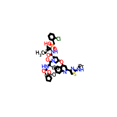 C=C[C@@H]1C[C@]1(NC(=O)[C@@H]1C[C@@H](Oc2cc(-c3csc(NC(C)C)n3)nc3cc(OC)ccc23)CN1C(=O)[C@@H](NC(=O)OC1CCCC1)C(C)(C)C)P(=O)(O)Cc1ccccc1Cl